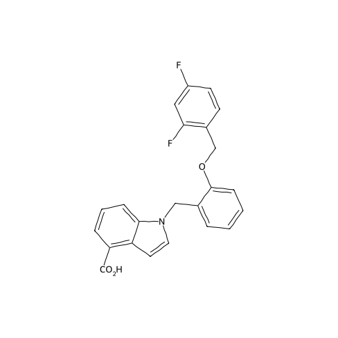 O=C(O)c1cccc2c1ccn2Cc1ccccc1OCc1ccc(F)cc1F